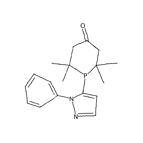 CC1(C)CC(=O)CC(C)(C)P1c1ccnn1-c1ccccc1